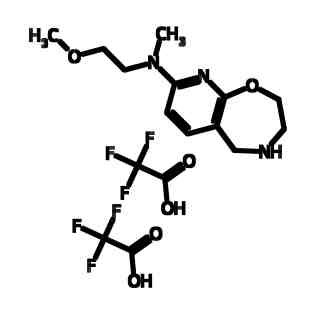 COCCN(C)c1ccc2c(n1)OCCNC2.O=C(O)C(F)(F)F.O=C(O)C(F)(F)F